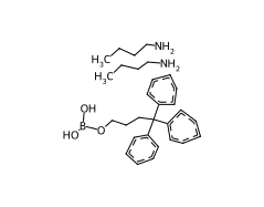 CCCCN.CCCCN.OB(O)OCCCC(c1ccccc1)(c1ccccc1)c1ccccc1